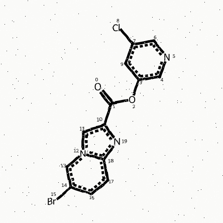 O=C(Oc1cncc(Cl)c1)c1cn2cc(Br)ccc2n1